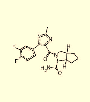 Cc1nc(C(=O)N2C[C@@H]3CCC[C@@H]3[C@H]2C(N)=O)c(-c2ccc(F)c(F)c2)s1